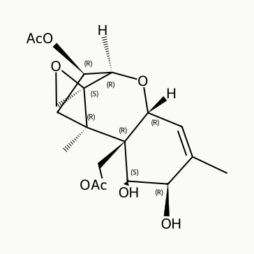 CC(=O)OC[C@]12[C@H](O)[C@H](O)C(C)=C[C@H]1O[C@@H]1[C@H](OC(C)=O)C[C@@]2(C)[C@]12CO2